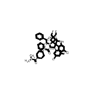 CN(C)C(=O)[C@H]1CC[C@H](NC(=O)[C@H]2[C@H](c3cc(F)cc(Cl)c3)C3(C(=O)Nc4cc(Cl)ccc43)C3(CC(CF)(CF)C3)N2[C@H](c2ccccc2)[C@@H](O)c2ccccc2)CC1